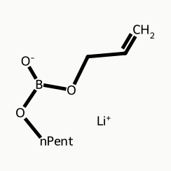 C=CCOB([O-])OCCCCC.[Li+]